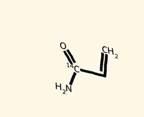 C=C[14C](N)=O